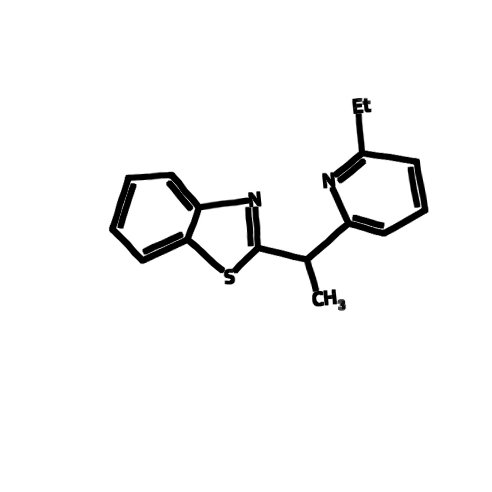 CCc1cccc(C(C)c2nc3ccccc3s2)n1